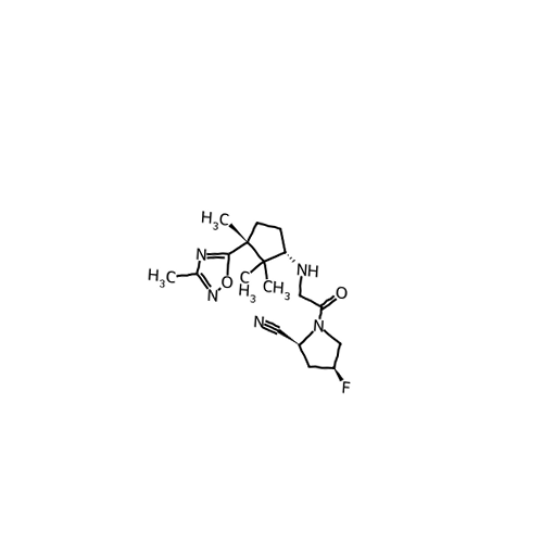 Cc1noc([C@]2(C)CC[C@H](NCC(=O)N3C[C@@H](F)C[C@H]3C#N)C2(C)C)n1